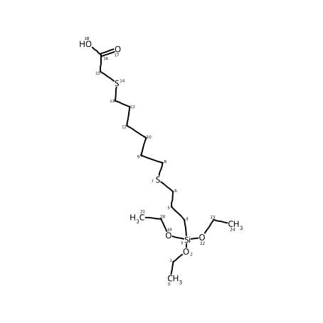 CCO[Si](CCCSCCCCCCSCC(=O)O)(OCC)OCC